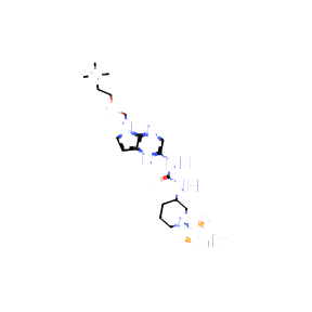 CCCS(=O)(=O)N1CCCC(NC(=O)Nc2cnc3c(ccn3COCC[Si](C)(C)C)n2)C1